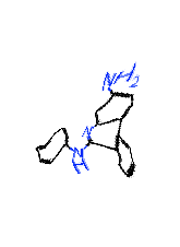 Nc1ccc2c(c1)nc(Nc1ccccc1)c1ccccc12